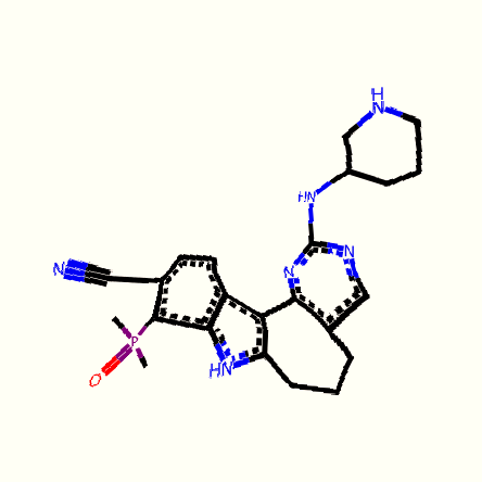 CP(C)(=O)c1c(C#N)ccc2c3c([nH]c12)CCCc1cnc(NC2CCCNC2)nc1-3